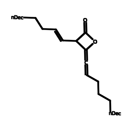 CCCCCCCCCCCCC=CC1C(=O)OC1=C=CCCCCCCCCCCCCC